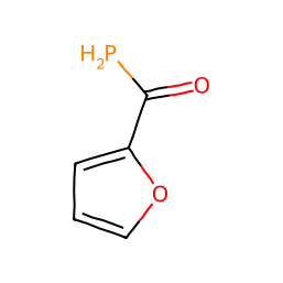 O=C(P)c1ccco1